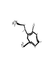 NCCc1c(Cl)cccc1Cl